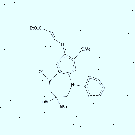 CCCCC1(CCCC)CN(c2ccccc2)c2cc(OC)c(O/C=C/C(=O)OCC)cc2[S+]([O-])C1